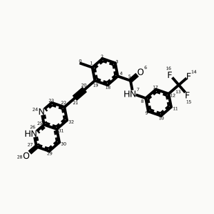 Cc1ccc(C(=O)Nc2cccc(C(F)(F)F)c2)cc1C#Cc1cnc2[nH]c(=O)ccc2c1